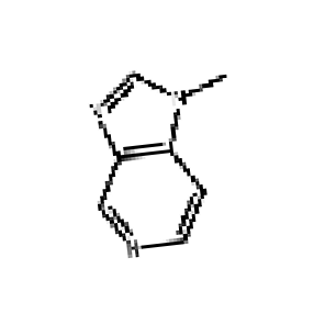 Cn1cnc2[c]nccc21